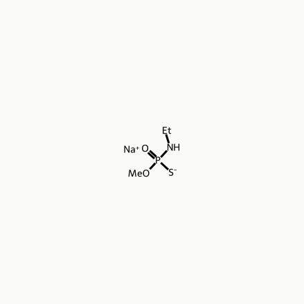 CCNP(=O)([S-])OC.[Na+]